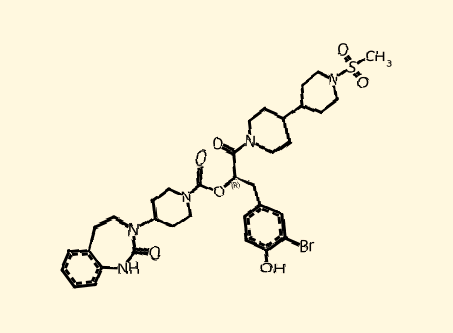 CS(=O)(=O)N1CCC(C2CCN(C(=O)[C@@H](Cc3ccc(O)c(Br)c3)OC(=O)N3CCC(N4CCc5ccccc5NC4=O)CC3)CC2)CC1